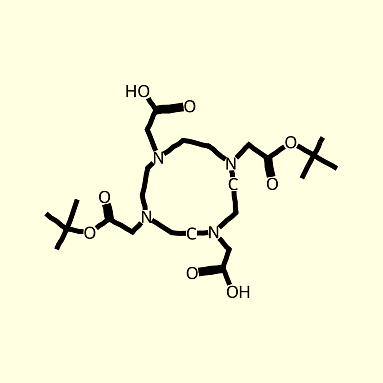 CC(C)(C)OC(=O)CN1CCN(CC(=O)O)CCN(CC(=O)OC(C)(C)C)CCN(CC(=O)O)CC1